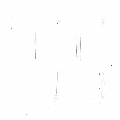 Fc1cc(F)c([O][Zr])c(F)c1